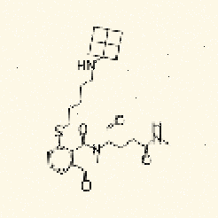 CNC(=O)CCC(C=O)N(C)C(=O)c1c(C=O)cccc1SCCCCCNC12CC3CC4CC(C1)C432